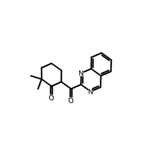 CC1(C)CCCC(C(=O)c2ncc3ccccc3n2)C1=O